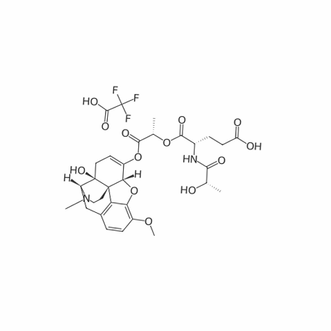 COc1ccc2c3c1O[C@H]1C(OC(=O)[C@H](C)OC(=O)[C@H](CCC(=O)O)NC(=O)[C@H](C)O)=CC[C@@]4(O)[C@@H](C2)N(C)CC[C@]314.O=C(O)C(F)(F)F